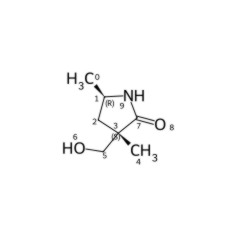 C[C@@H]1C[C@@](C)(CO)C(=O)N1